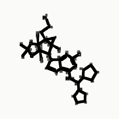 CCSC[C@@]12C[C@@H]1[C@@H](n1cnc3c(NC(C4CCCC4)C4CCCC4)nc(Cl)nc31)[C@@H]1OC(C)(C)O[C@@H]12